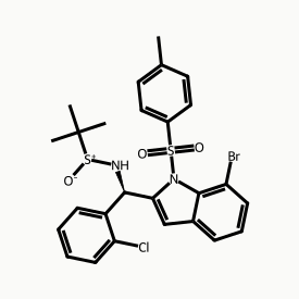 Cc1ccc(S(=O)(=O)n2c([C@H](N[S+]([O-])C(C)(C)C)c3ccccc3Cl)cc3cccc(Br)c32)cc1